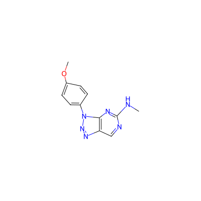 CNc1ncc2nnn(-c3ccc(OC)cc3)c2n1